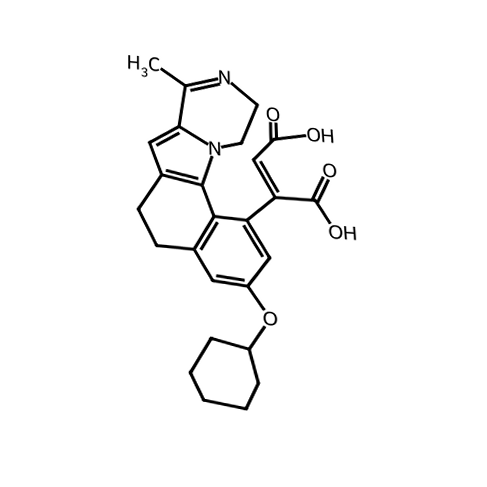 CC1=NCCn2c1cc1c2-c2c(cc(OC3CCCCC3)cc2C(=CC(=O)O)C(=O)O)CC1